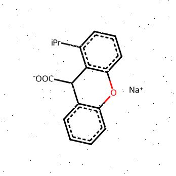 CC(C)c1cccc2c1C(C(=O)[O-])c1ccccc1O2.[Na+]